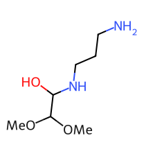 COC(OC)C(O)NCCCN